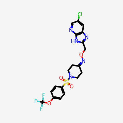 O=S(=O)(c1ccc(OC(F)(F)F)cc1)N1CCC(=NOCc2nc3cc(Cl)cnc3[nH]2)CC1